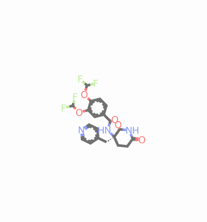 O=C1CC[C@@](Cc2ccncc2)(NC(=O)c2ccc(OC(F)F)c(OC(F)F)c2)C(=O)N1